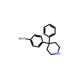 COc1ccc(C2(c3ccccc3)CCNCC2)cc1